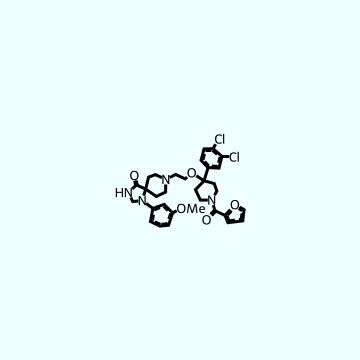 COc1cccc(N2CNC(=O)C23CCN(CCOC2(c4ccc(Cl)c(Cl)c4)CCN(C(=O)c4ccco4)CC2)CC3)c1